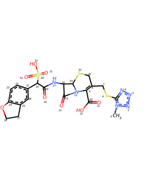 Cn1nnnc1SCC1=C(C(=O)O)N2C(=O)C(NC(=O)C(c3ccc4c(c3)CCO4)S(=O)(=O)O)C2SC1